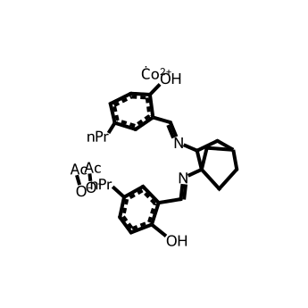 CC(=O)[O-].CC(=O)[O-].CCCc1ccc(O)c(C=NC2CC3CCC2(N=Cc2cc(CCC)ccc2O)C3)c1.[Co+2]